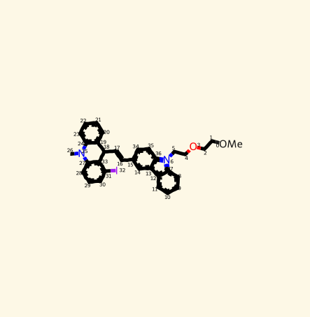 COCCOCCn1c2ccccc2c2cc(C=CC3c4ccccc4N(C)c4cccc(I)c43)ccc21